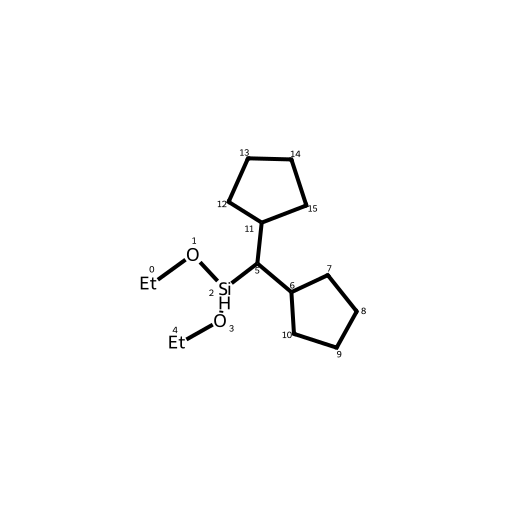 CCO[SiH](OCC)C(C1CCCC1)C1CCCC1